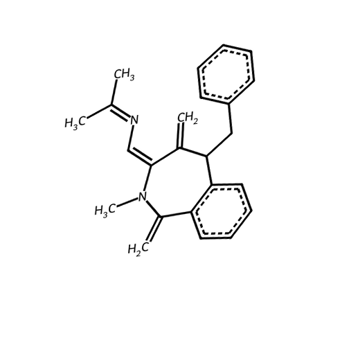 C=C1/C(=C\N=C(C)C)N(C)C(=C)c2ccccc2C1Cc1ccccc1